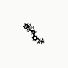 O=C(N[C@H]1CN2CCC1CC2)c1ccc(-c2cccc(N[S+]([O-])C(F)(F)F)c2)s1